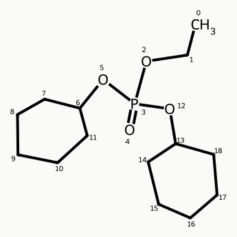 CCOP(=O)(OC1CCCCC1)OC1CCCCC1